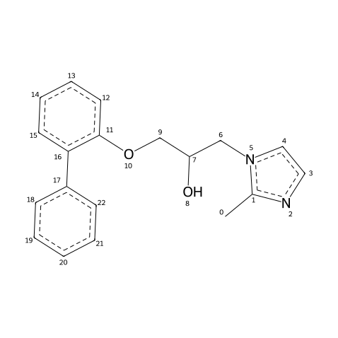 Cc1nccn1CC(O)COc1ccccc1-c1ccccc1